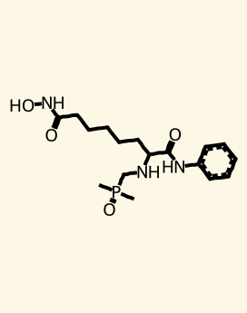 CP(C)(=O)CNC(CCCCCC(=O)NO)C(=O)Nc1ccccc1